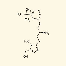 Cn1c(CO)cnc1SC[C@H](N)COc1cncc(C(C)(C)C)c1